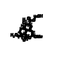 C=CC1(C)CC[C@@H]2C3C(=C[C@H](C(=O)OCO)[C@H]2C)C=C(OC)OC(=O)[C@H]31